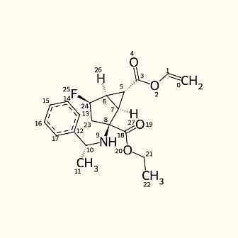 C=COC(=O)[C@H]1[C@H]2[C@@H]1[C@](N[C@H](C)c1ccccc1)(C(=O)OCC)C[C@H]2F